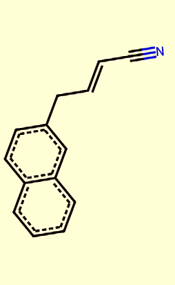 N#CC=CCc1ccc2ccccc2c1